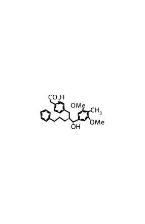 COc1cc([C@H](O)[C@@H](CCCc2ccccc2)Cc2ccc(CC(=O)O)cc2)cc(OC)c1C